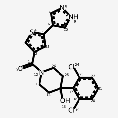 O=C(c1csc(-c2cn[nH]c2)c1)N1CCC(O)(c2c(Cl)cccc2Cl)CC1